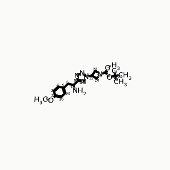 COc1ccc(C[C@H](N)c2nnn(C3CN(C(=O)OC(C)(C)C)C3)n2)cc1